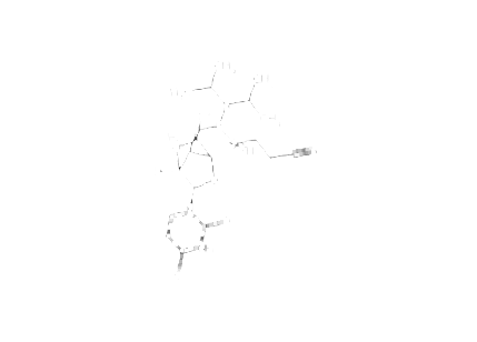 [2H]C[C@@]12O[C@@H](n3ccc(=O)[nH]c3=O)[C@@H](OC1C)[C@H]2OP(OCCC#N)N(C(C)C)C(C)C